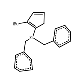 CCC(C)C1=[C]([Zr]([CH2]c2ccccc2)[CH2]c2ccccc2)CC=C1